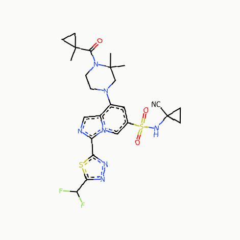 CC1(C(=O)N2CCN(c3cc(S(=O)(=O)NC4(C#N)CC4)cn4c(-c5nnc(C(F)F)s5)ncc34)CC2(C)C)CC1